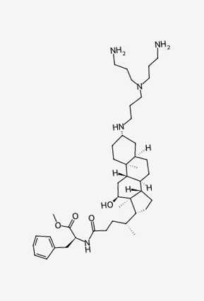 COC(=O)[C@H](Cc1ccccc1)NC(=O)CC[C@@H](C)[C@H]1CC[C@H]2[C@@H]3CC[C@@H]4C[C@@H](NCCCN(CCCN)CCCN)CC[C@]4(C)[C@H]3C[C@H](O)[C@]12C